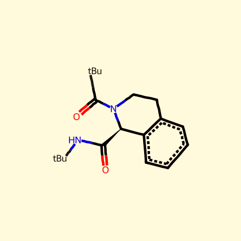 CC(C)(C)NC(=O)[C@@H]1c2ccccc2CCN1C(=O)C(C)(C)C